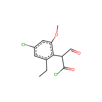 CCc1cc(Cl)cc(OC)c1C(C=O)C(=O)Cl